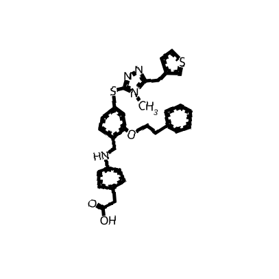 Cn1c(Cc2ccsc2)nnc1Sc1ccc(CNc2ccc(CC(=O)O)cc2)c(OCCc2ccccc2)c1